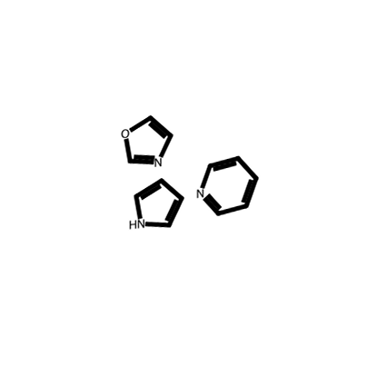 c1cc[nH]c1.c1ccncc1.c1cocn1